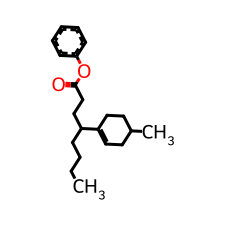 CCCCC(CCC(=O)Oc1ccccc1)C1=CCC(C)CC1